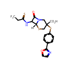 O=C1C(NC(=S)CC(F)(F)F)[C@H]2SCC(Sc3ccc(-c4ncco4)cc3)(C(=O)O)CN12